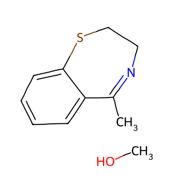 CC1=NCCSc2ccccc21.CO